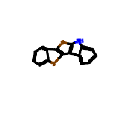 c1ccc2c(c1)[nH]c1sc3c4ccccc4sc3c12